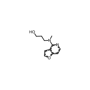 CN(CCCO)c1nccc2occc12